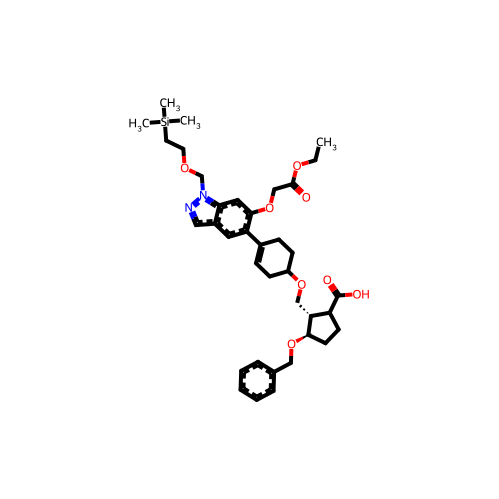 CCOC(=O)COc1cc2c(cnn2COCC[Si](C)(C)C)cc1C1=CCC(OC[C@@H]2C(C(=O)O)CC[C@H]2OCc2ccccc2)CC1